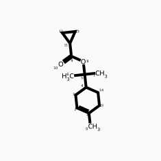 CC1=CCC(C(C)(C)OC(=O)C2CC2)CC1